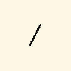 [CH]=CCCCCCCCCCCCCC=CC